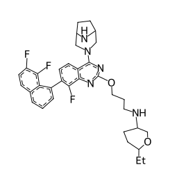 CCC1CCC(NCCCOc2nc(N3CC4CCC(C3)N4)c3ccc(-c4cccc5ccc(F)c(F)c45)c(F)c3n2)CO1